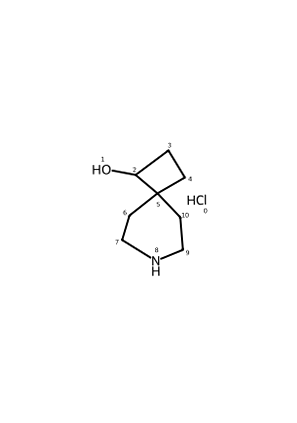 Cl.OC1CCC12CCNCC2